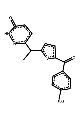 CC(c1ccc(=O)[nH]n1)c1ccc(C(=O)c2ccc(C(C)(C)C)cc2)[nH]1